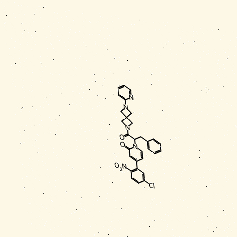 O=C(C(Cc1ccccc1)n1ccc(-c2cc(Cl)ccc2[N+](=O)[O-])cc1=O)N1CC2(C1)CN(c1ccccn1)C2